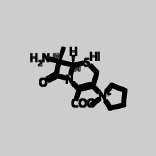 C[C@]1(N)C(=O)N2C(C(=O)[O-])=C([N+]3(C)CCCC3)CS[C@@H]21.I